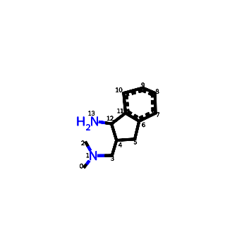 CN(C)CC1Cc2ccccc2C1N